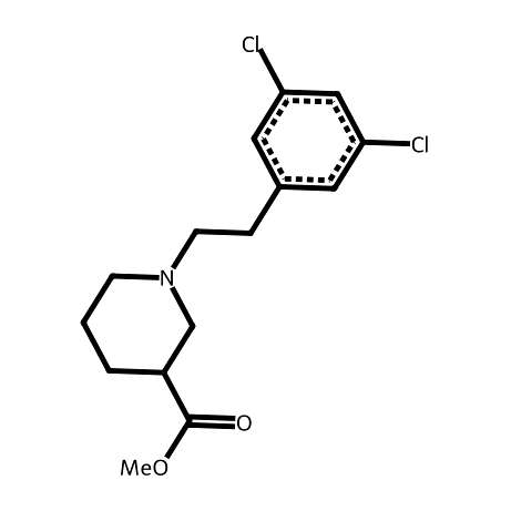 COC(=O)C1CCCN(CCc2cc(Cl)cc(Cl)c2)C1